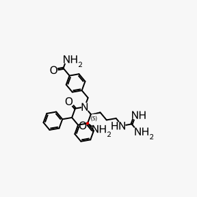 N=C(N)NCCC[C@@H](C(N)=O)N(Cc1ccc(C(N)=O)cc1)C(=O)C(c1ccccc1)c1ccccc1